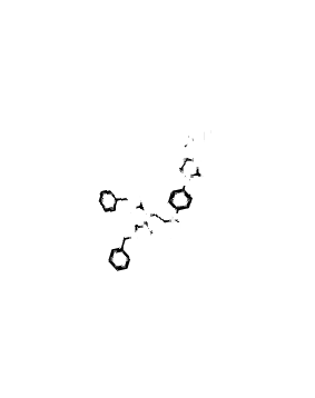 CCN(CCN(C(=O)OCc1ccccc1)N(C)C(=O)OCc1ccccc1)c1ccc(N2C[C@H](CNC(C)=O)OC2=O)cc1